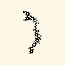 C[C@H](CC(=O)N1CCC(O)(Cn2cnc3c(-c4ccc(CNC(=O)CCCCC(=O)N5CCN(C[C@H](O)Cn6c7ccc(Br)cc7c7cc(Br)ccc76)CC5)cc4)n(C)nc3c2=O)CC1)c1ccccc1